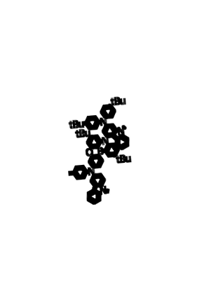 Cc1ccc(N(c2ccc3c(c2)Oc2cc(C(C)(C)C)cc4c2B3c2cc(C(C)(C)C)ccc2N4c2cc(N(c3ccc(C(C)(C)C)cc3)c3ccc(C(C)(C)C)cc3)cc3c2c2ccccc2n3C)c2ccc3c(c2)c2ccccc2n3C)cc1